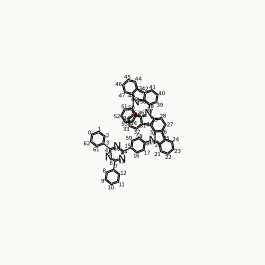 c1ccc(-c2nc(-c3ccccc3)nc(-c3ccc(-n4c5ccccc5c5ccc6c(c7ccccc7n6-c6cccc7c8ccccc8n(-c8ccccc8)c67)c54)cc3)n2)cc1